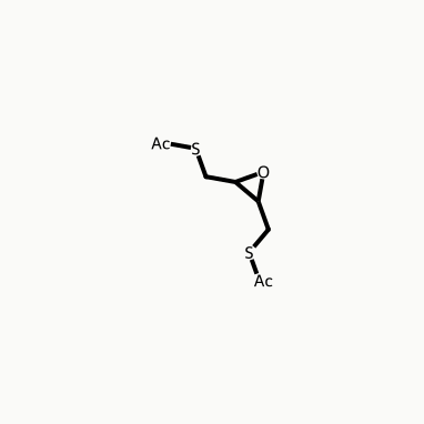 CC(=O)SCC1OC1CSC(C)=O